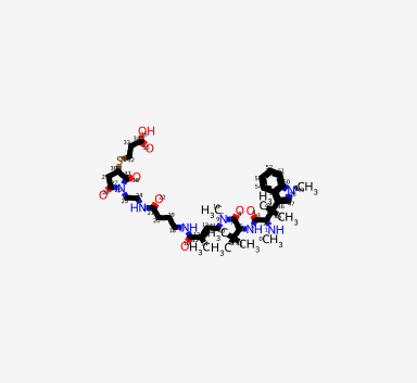 CNC(C(=O)NC(C(=O)N(C)C/C=C(\C)C(=O)NCCCC(=O)NCCN1C(=O)CC(SCCC(=O)O)C1=O)C(C)(C)C)C(C)(C)c1cn(C)c2ccccc12